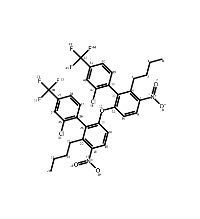 CCCCc1c([N+](=O)[O-])ccc(Oc2ccc([N+](=O)[O-])c(CCCC)c2-c2ccc(C(F)(F)F)cc2Cl)c1-c1ccc(C(F)(F)F)cc1Cl